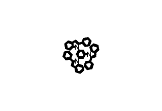 c1ccc(-c2cc3ccccc3n2-c2cc(-n3c(-c4ccccc4)cc4ccccc43)cc(-n3c(-c4ccccc4)cc4ccccc43)c2)cc1